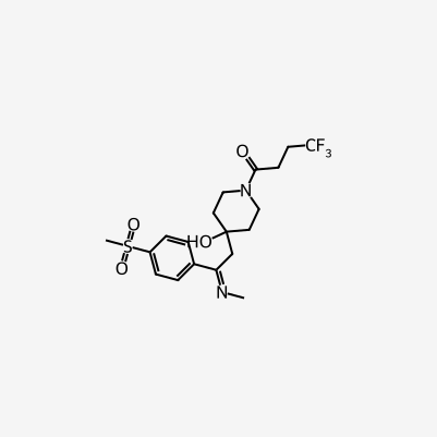 C/N=C(\CC1(O)CCN(C(=O)CCC(F)(F)F)CC1)c1ccc(S(C)(=O)=O)cc1